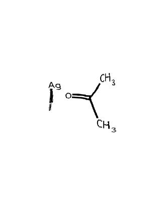 CC(C)=O.[Ag][I]